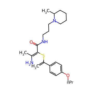 C=C(S/C(C(=O)NCCCN1CCCCC1C)=C(/C)N)c1ccc(OCCC)cc1